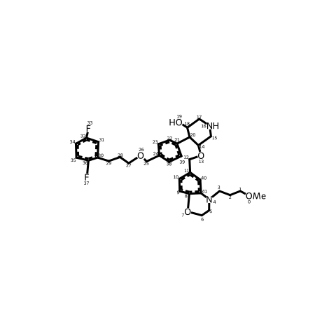 COCCCN1CCOc2ccc(COC3CNCC(O)C3c3ccc(COCCCc4cc(F)ccc4F)cc3)cc21